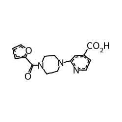 O=C(O)c1ccnc(N2CCN(C(=O)c3ccco3)CC2)c1